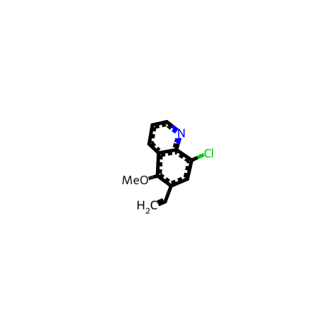 C=Cc1cc(Cl)c2ncccc2c1OC